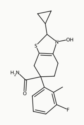 Cc1c(F)cccc1C1(C(N)=O)CCC2=C(C1)SC(C1CC1)N2O